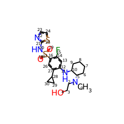 CN(CCO)[C@H]1CCCC[C@@H]1Nc1cc(F)c(S(=O)(=O)Nc2nccs2)cc1C1CC1